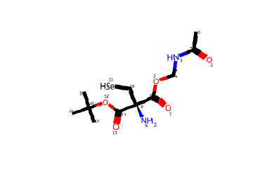 CC(=O)NCOC(=O)[C@@](N)(C[SeH])C(=O)OC(C)(C)C